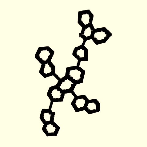 c1ccc2cc(-c3c4ccc(-c5ccc6ccccc6n5)cc4c(-c4ccc5ccccc5c4)c4ccc(-c5ccc(-c6nc7ccccc7c7ccccc67)cc5)cc34)ccc2c1